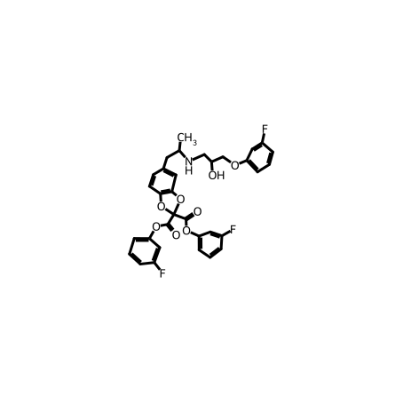 CC(Cc1ccc2c(c1)OC(C(=O)Oc1cccc(F)c1)(C(=O)Oc1cccc(F)c1)O2)NCC(O)COc1cccc(F)c1